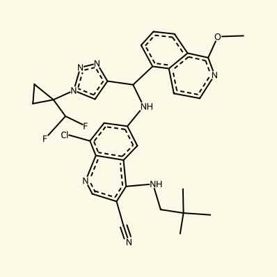 COc1nccc2c(C(Nc3cc(Cl)c4ncc(C#N)c(NCC(C)(C)C)c4c3)c3cn(C4(C(F)F)CC4)nn3)cccc12